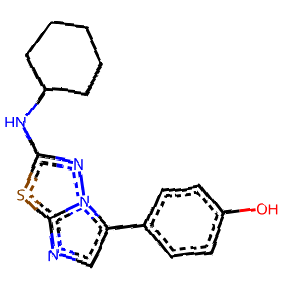 Oc1ccc(-c2cnc3sc(NC4CCCCC4)nn23)cc1